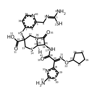 NC(S)=NCc1cc(SC2(C(=O)O)CS[C@@H]3[C@H](NC(=O)C(=NOC4CCCC4)c4csc(N)n4)C(=O)N3C2)ccn1